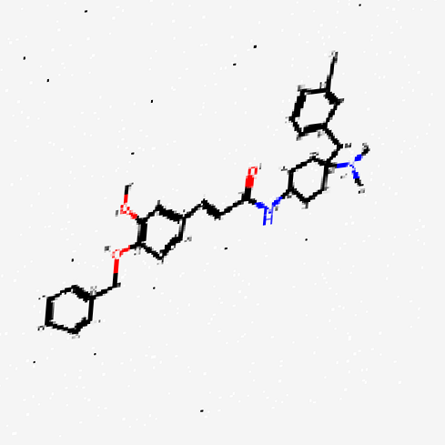 COc1cc(/C=C/C(=O)NC2CCC(Cc3cccc(C)c3)(N(C)C)CC2)ccc1OCc1ccccc1